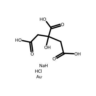 Cl.O=C(O)CC(O)(CC(=O)O)C(=O)O.[Au].[NaH]